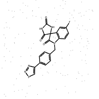 O=C1NC(=O)C2(N1)C(=O)N(Cc1ccc(-c3csnn3)cc1)c1ccc(F)cc12